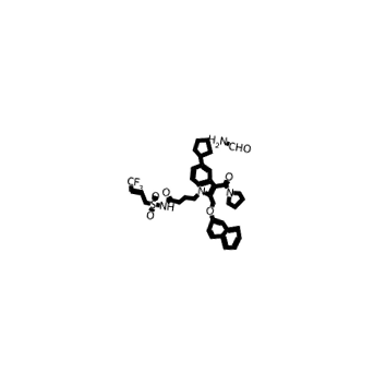 NC=O.O=C(CCCn1c(COc2ccc3ccccc3c2)c(C(=O)N2CCCC2)c2cc(C3CCCC3)ccc21)NS(=O)(=O)CC=CC(F)(F)F